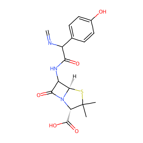 C=NC(C(=O)NC1C(=O)N2[C@@H]1SC(C)(C)[C@@H]2C(=O)O)c1ccc(O)cc1